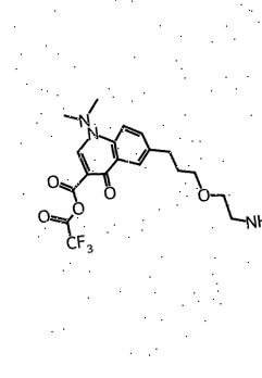 CN(C)n1cc(C(=O)OC(=O)C(F)(F)F)c(=O)c2cc(CCCOCCN)ccc21